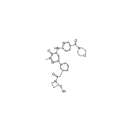 CC(C)OC1CCN1C(=O)Cc1cccc(-c2cc(Nc3ccc(C(=O)N4CCOCC4)cn3)c(=O)n(C)n2)c1